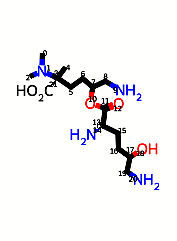 CN(C)[C@@](C)(CCC(CN)OC(=O)[C@@H](N)CCC(O)CN)C(=O)O